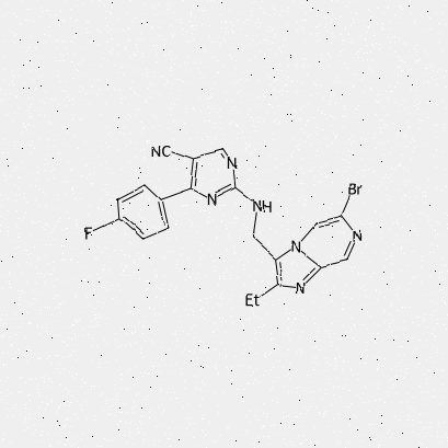 CCc1nc2cnc(Br)cn2c1CNc1ncc(C#N)c(-c2ccc(F)cc2)n1